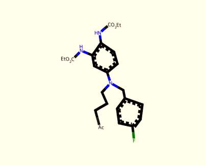 CCOC(=O)Nc1ccc(N(CCCC(C)=O)Cc2ccc(F)cc2)cc1NC(=O)OCC